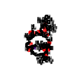 C=C1[C@H](C)CC2CC[C@@H]3O[C@@H](CCC/C=C/C(O[Si](C)(C)C(C)(C)C)[C@@H]4O[C@H]5CC[C@H](CC(=O)C[C@H]6[C@H](C[C@H]1OC(C)=O)OC(C[C@@H](CO[Si](C)(C)C(C)(C)C)O[Si](C)(C)C(C)(C)C)[C@@H]6OC)OC5[C@H](O)C4O[Si](C)(C)C(C)(C)C)CC3(CI)O2